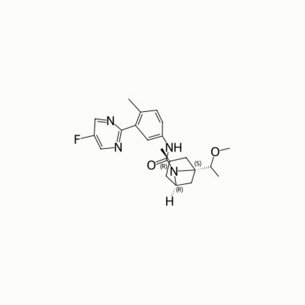 COC(C)[C@]12C[C@H](C)C[C@H](C1)N2C(=O)Nc1ccc(C)c(-c2ncc(F)cn2)c1